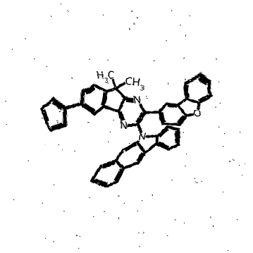 CC1(C)c2ccc(-c3ccccc3)cc2-c2nc(-n3c4ccccc4c4cc5ccccc5cc43)c(-c3ccc4oc5ccccc5c4c3)nc21